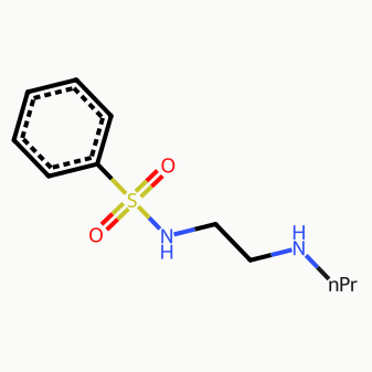 CCCNCCNS(=O)(=O)c1ccccc1